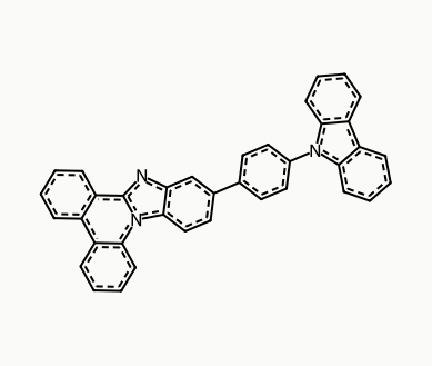 c1ccc2c(c1)c1ccccc1n1c3ccc(-c4ccc(-n5c6ccccc6c6ccccc65)cc4)cc3nc21